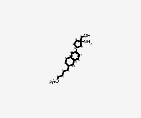 CC(C)OCCCCC1CCc2cc([C@H]3CC[C@](N)(CO)C3)ccc2C1